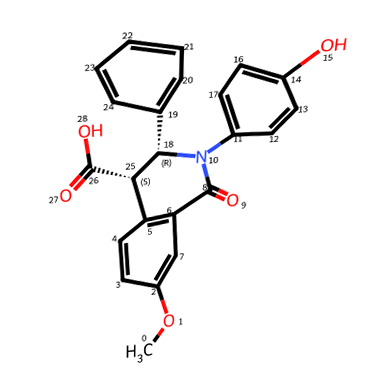 COc1ccc2c(c1)C(=O)N(c1ccc(O)cc1)[C@@H](c1ccccc1)[C@H]2C(=O)O